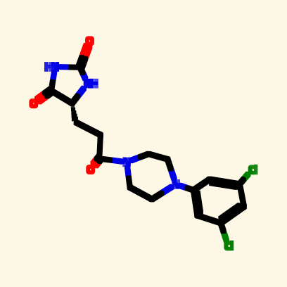 O=C1NC(=O)[C@@H](CCC(=O)N2CCN(c3cc(Cl)cc(Cl)c3)CC2)N1